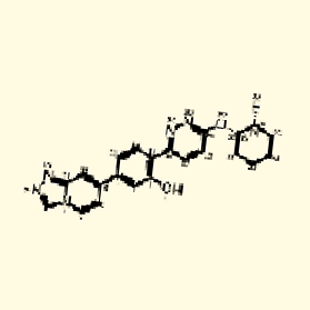 Oc1cc(-c2ccn3cnnc3c2)ccc1-c1ccc(O[C@H]2CCCC[C@H]2F)nn1